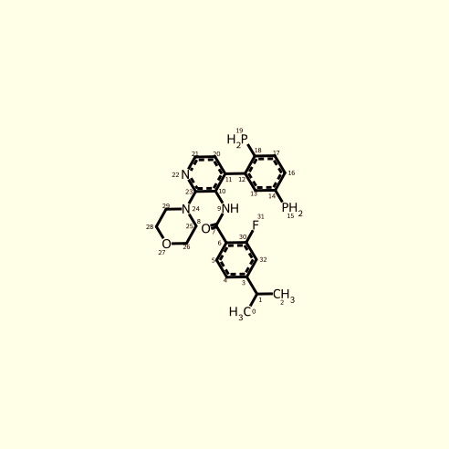 CC(C)c1ccc(C(=O)Nc2c(-c3cc(P)ccc3P)ccnc2N2CCOCC2)c(F)c1